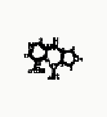 CCOC1COCC1Nc1cncc(C(C)(C)C)c1